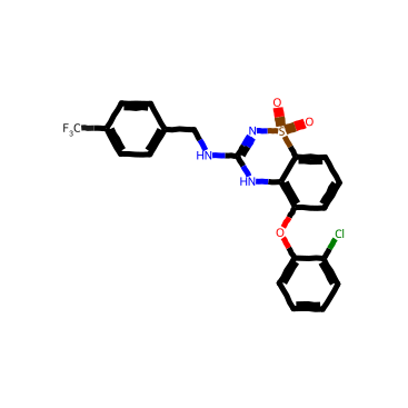 O=S1(=O)N=C(NCc2ccc(C(F)(F)F)cc2)Nc2c(Oc3ccccc3Cl)cccc21